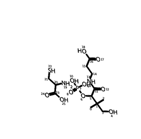 CC(C)(CO)C(OP(=O)(O)O)C(=O)NCCC(=O)O.NC(CS)C(=O)O